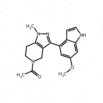 COc1cc(-c2nn(C)c3c2CN(C(C)=O)CC3)c2cc[nH]c2c1